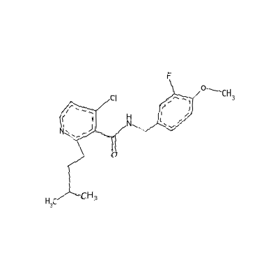 COc1ccc(CNC(=O)c2c(Cl)ccnc2CCC(C)C)cc1F